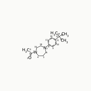 CC(=O)N1CCCN(c2ccc(C(C)(C)C)cc2)CC1